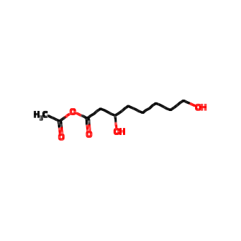 CC(=O)OC(=O)CC(O)CCCCCO